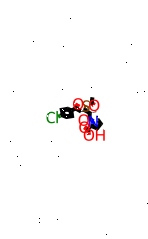 CC(=O)S[C@@H](CC(=O)c1ccc(Cl)cc1)[C@H](C)C(=O)N1CCC[C@H]1C(=O)O